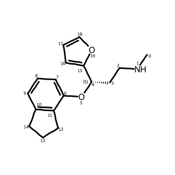 CNCC[C@H](Oc1cccc2c1CCC2)c1ccco1